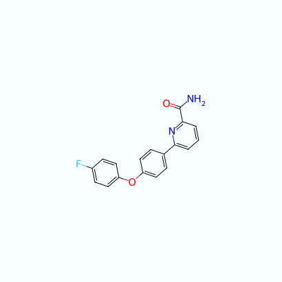 NC(=O)c1cccc(-c2ccc(Oc3ccc(F)cc3)cc2)n1